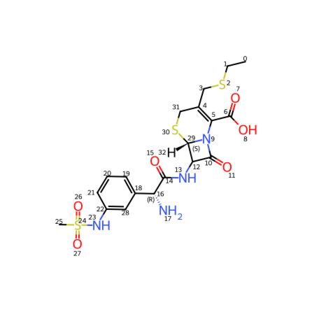 CCSCC1=C(C(=O)O)N2C(=O)C(NC(=O)[C@H](N)c3cccc(NS(C)(=O)=O)c3)[C@@H]2SC1